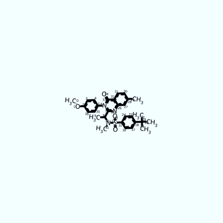 COc1ccc(-n2c(C(C)N(C)S(=O)(=O)c3ccc(C(C)(C)C)cc3)nc3cc(C)ccc3c2=O)cc1